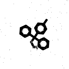 Cc1ccc(C(ON)(c2ccccc2)c2ccccc2)cc1